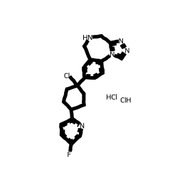 Cl.Cl.Fc1ccc(C2CCC(Cl)(c3ccc4c(c3)CNCc3nncn3-4)CC2)nc1